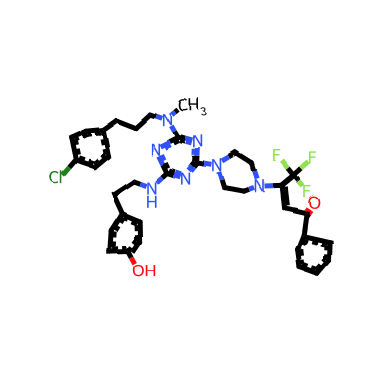 CN(CCCc1ccc(Cl)cc1)c1nc(NCCc2ccc(O)cc2)nc(N2CCN(C(=CC(=O)c3ccccc3)C(F)(F)F)CC2)n1